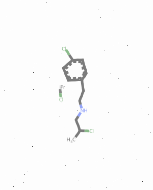 CC(C)Cl.CC(Cl)CNCCc1ccc(Cl)cc1